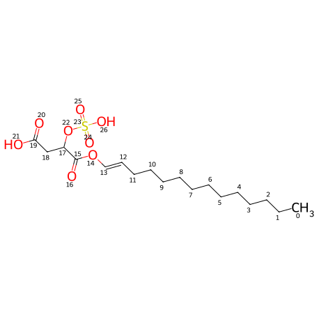 CCCCCCCCCCCCC=COC(=O)C(CC(=O)O)OS(=O)(=O)O